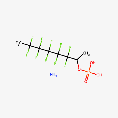 CC(OP(=O)(O)O)C(F)(F)C(F)(F)C(F)(F)C(F)(F)C(F)(F)C(F)(F)F.N